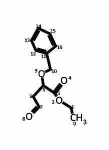 CCOC(=O)C(CC=O)OCc1ccccc1